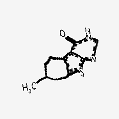 CC1CCc2c(sc3nc[nH]c(=O)c23)C1